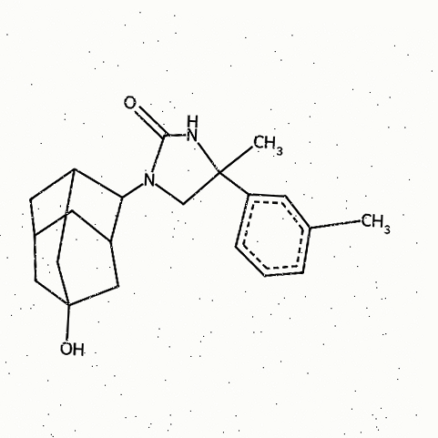 Cc1cccc(C2(C)CN(C3C4CC5CC3CC(O)(C5)C4)C(=O)N2)c1